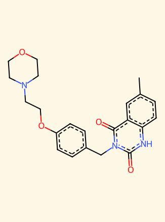 Cc1ccc2[nH]c(=O)n(Cc3ccc(OCCN4CCOCC4)cc3)c(=O)c2c1